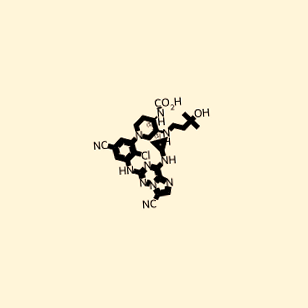 CC(C)(O)CCN[C@H]1CN(c2cc(C#N)cc(Nc3nc(NC4CC4)c4ncc(C#N)n4n3)c2Cl)CC[C@@H]1NC(=O)O